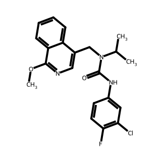 COc1ncc(CN(C(=O)Nc2ccc(F)c(Cl)c2)C(C)C)c2ccccc12